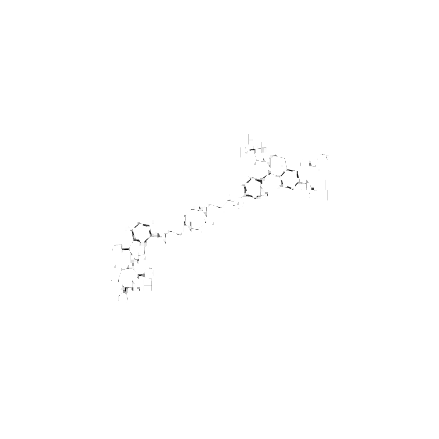 CNc1ccc2c(c1OC=O)CCN(CC(F)(F)F)C2c1ccc(OCCCN2CCN(CCNc3cccc4c3CN(C3CCC(=O)NC3=O)C4=O)CC2)cn1